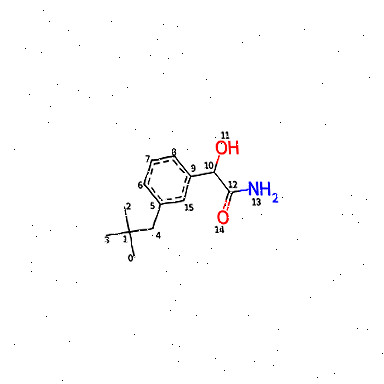 CC(C)(C)Cc1cccc(C(O)C(N)=O)c1